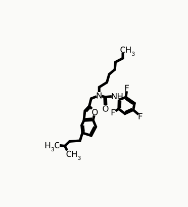 CCCCCCCN(Cc1cc2cc(CCC(C)C)ccc2o1)C(=O)Nc1c(F)cc(F)cc1F